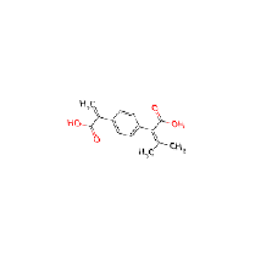 C=C(C(=O)O)c1ccc(C(C(=O)O)=C(C)C)cc1